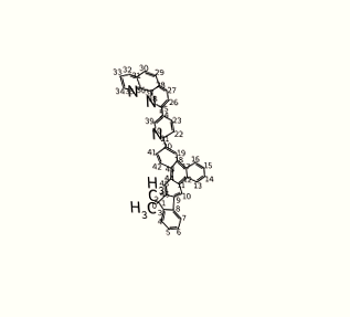 CC1(C)c2ccccc2-c2cc3c4ccccc4c4cc(-c5ccc(-c6ccc7ccc8cccnc8c7n6)cn5)ccc4c3cc21